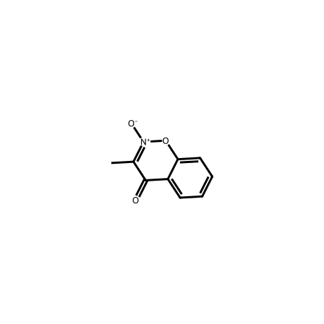 Cc1c(=O)c2ccccc2o[n+]1[O-]